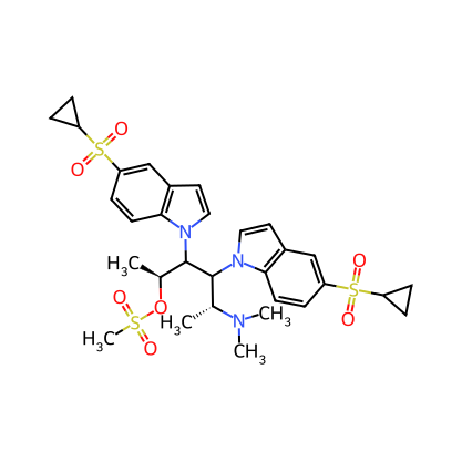 C[C@H](OS(C)(=O)=O)C(C([C@@H](C)N(C)C)n1ccc2cc(S(=O)(=O)C3CC3)ccc21)n1ccc2cc(S(=O)(=O)C3CC3)ccc21